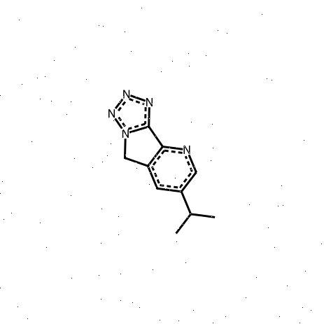 CC(C)c1cnc2c(c1)Cn1nnnc1-2